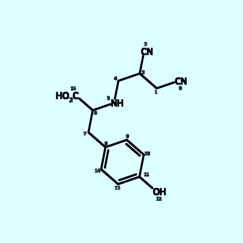 N#CCC(C#N)CNC(Cc1ccc(O)cc1)C(=O)O